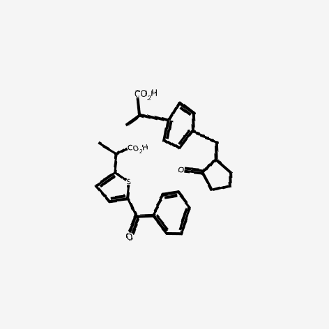 CC(C(=O)O)c1ccc(C(=O)c2ccccc2)s1.CC(C(=O)O)c1ccc(CC2CCCC2=O)cc1